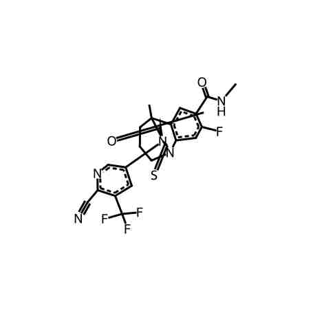 CNC(=O)c1cc2c(cc1F)N1CCCC2(C)CC(=O)N(c2cnc(C#N)c(C(F)(F)F)c2)C1=S